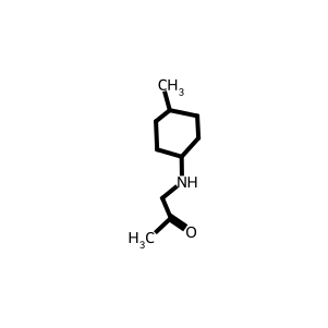 CC(=O)CNC1CCC(C)CC1